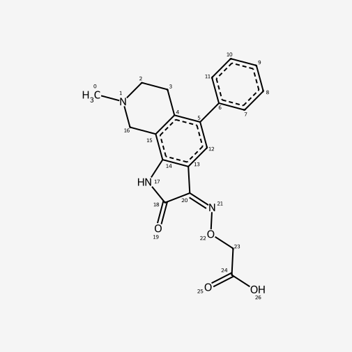 CN1CCc2c(-c3ccccc3)cc3c(c2C1)NC(=O)C3=NOCC(=O)O